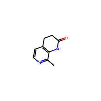 Cc1nccc2c1NC(=O)CC2